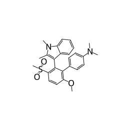 COc1ccc(S(C)(=O)=O)c(-c2c(C)n(C)c3ccccc23)c1-c1ccc(N(C)C)cc1